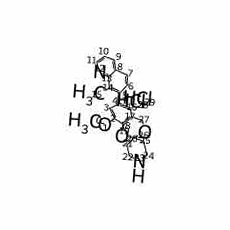 COc1cc(-c2ccc3cccnc3c2C)cc2c1OC1(CCNCC1)OC2.Cl.Cl